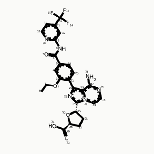 CCOc1cc(C(=O)Nc2cc(C(F)(F)F)ccn2)ccc1-c1nc([C@@H]2CC[C@@H](C(=O)O)O2)n2ccnc(N)c12